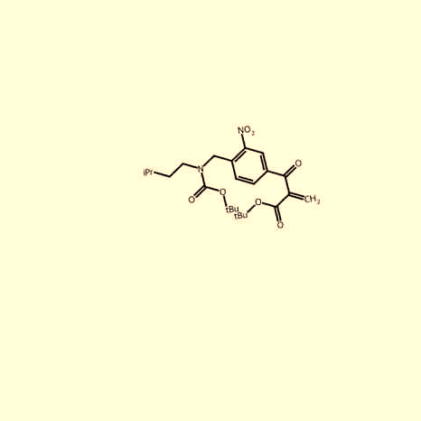 C=C(C(=O)OC(C)(C)C)C(=O)c1ccc(CN(CCC(C)C)C(=O)OC(C)(C)C)c([N+](=O)[O-])c1